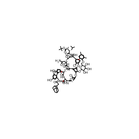 Cc1cc(C)c(OCC2OC(Oc3c4cc5cc3Oc3ccc(cc3Cl)[C@@H](O)[C@@H](NC(=O)[C@@H](CC(C)C)N(C)C(=O)OC(C)(C)C)C(=O)C[C@@H](CC(N)=O)C(=O)N[C@H]5C(=O)C[C@H]3C(=O)N[C@H](C(=O)N[C@H](C(=O)CC5C6CC7CC(C6)CC5C7)c5cc(O)cc(O)c5-c5cc3ccc5O)[C@H](O)c3ccc(c(Cl)c3)O4)C(O)C(O)C2O)c(C)c1